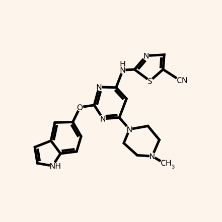 CN1CCN(c2cc(Nc3ncc(C#N)s3)nc(Oc3ccc4[nH]ccc4c3)n2)CC1